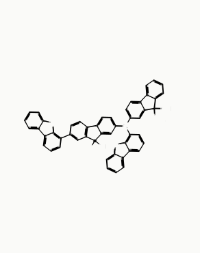 CC1(C)c2ccccc2-c2ccc(N(c3ccc4c(c3)C(C)(C)c3cc(-c5cccc6c5oc5ccccc56)ccc3-4)c3cccc4c3oc3ccccc34)cc21